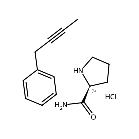 CC#CCc1ccccc1.Cl.NC(=O)[C@@H]1CCCN1